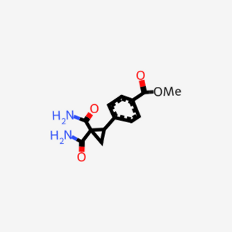 COC(=O)c1ccc(C2CC2(C(N)=O)C(N)=O)cc1